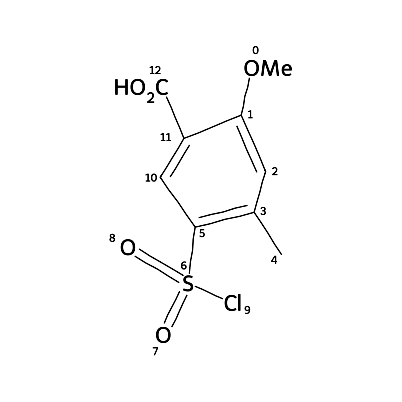 COc1cc(C)c(S(=O)(=O)Cl)cc1C(=O)O